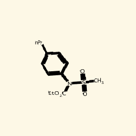 CCCc1ccc(N(C(=O)OCC)S(C)(=O)=O)cc1